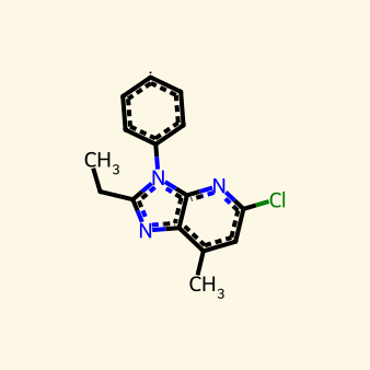 CCc1nc2c(C)cc(Cl)nc2n1-c1cc[c]cc1